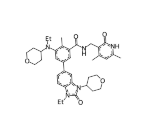 CCN(c1cc(-c2ccc3c(c2)n(C2CCOCC2)c(=O)n3CC)cc(C(=O)NCc2c(C)cc(C)[nH]c2=O)c1C)C1CCOCC1